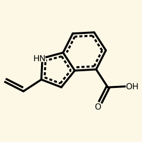 C=Cc1cc2c(C(=O)O)cccc2[nH]1